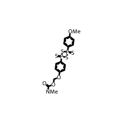 CNC(=O)OCOc1ccc(P2(=S)SP(=S)(c3ccc(OC)cc3)S2)cc1